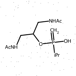 C=P(O)(OC(CNC(C)=O)CNC(C)=O)C(C)C